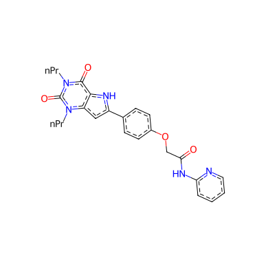 CCCn1c(=O)c2[nH]c(-c3ccc(OCC(=O)Nc4ccccn4)cc3)cc2n(CCC)c1=O